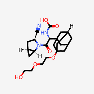 N#C[C@@H]1C[C@@H]2C[C@@H]2N1C(=O)[C@@H](NC(=O)O)C12CC3C[C@H](CC(OCCOCCO)(C3)C1)C2